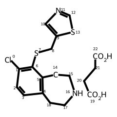 Clc1ccc2c(c1SCc1cncs1)CCNCC2.O=C(O)CCC(=O)O